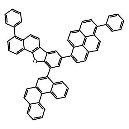 c1ccc(-c2cccc3c2ccc2c4cc(-c5ccc6ccc7c(-c8ccccc8)ccc8ccc5c6c87)cc(-c5cc6ccc7ccccc7c6c6ccccc56)c4oc32)cc1